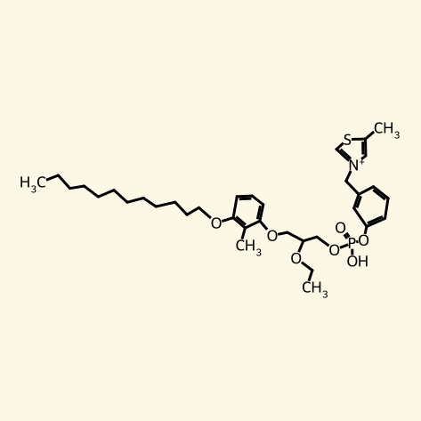 CCCCCCCCCCCCOc1cccc(OCC(COP(=O)(O)Oc2cccc(C[n+]3csc(C)c3)c2)OCC)c1C